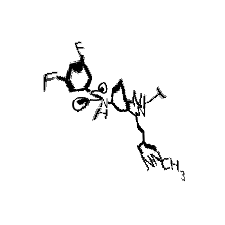 Cn1cc(C=Cc2n[nH]c3ccc(NS(=O)(=O)c4cc(F)cc(F)c4)cc23)cn1